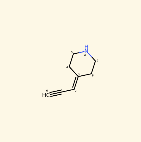 C#CC=C1CCNCC1